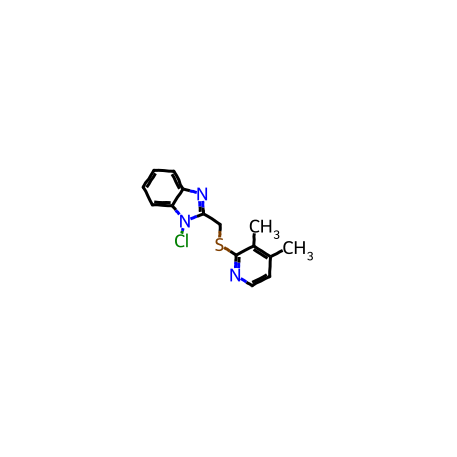 Cc1ccnc(SCc2nc3ccccc3n2Cl)c1C